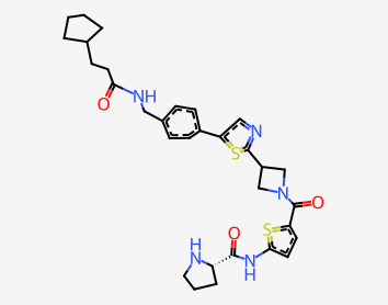 O=C(CCC1CCCC1)NCc1ccc(-c2cnc(C3CN(C(=O)c4ccc(NC(=O)[C@@H]5CCCN5)s4)C3)s2)cc1